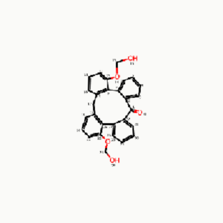 O=C1c2ccccc2-c2c(cccc2OCO)Cc2cccc(OCO)c2-c2ccccc21